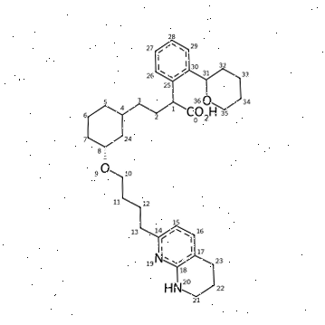 O=C(O)C(CCC1CCC[C@@H](OCCCCc2ccc3c(n2)NCCC3)C1)c1ccccc1C1CCCCO1